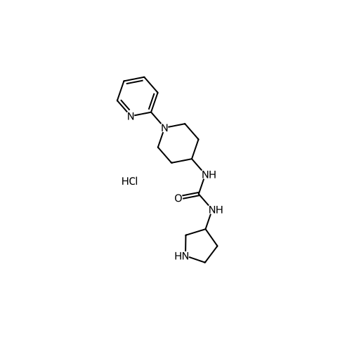 Cl.O=C(NC1CCN(c2ccccn2)CC1)NC1CCNC1